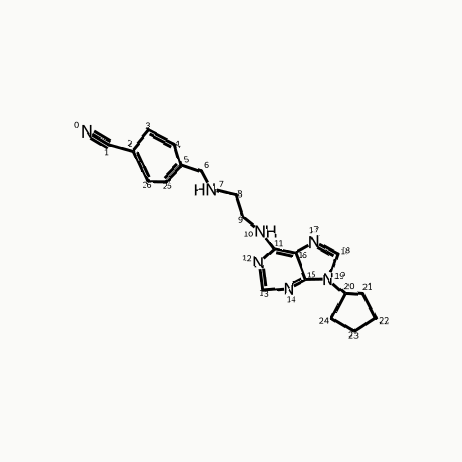 N#Cc1ccc(CNCCNc2ncnc3c2ncn3C2CCCC2)cc1